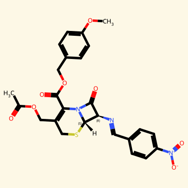 COc1ccc(COC(=O)C2=C(COC(C)=O)CS[C@H]3[C@H](N=Cc4ccc([N+](=O)[O-])cc4)C(=O)N23)cc1